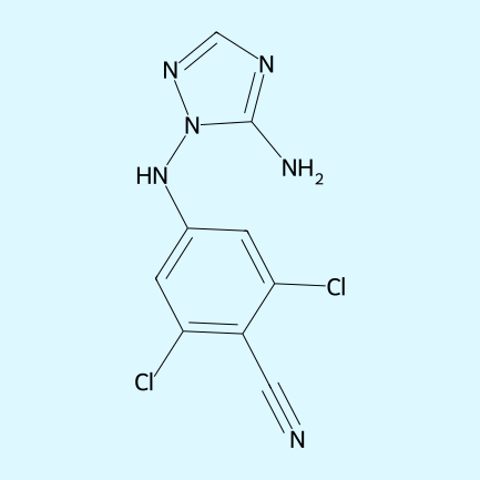 N#Cc1c(Cl)cc(Nn2ncnc2N)cc1Cl